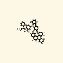 CC1(C)c2ccccc2-c2cc(-n3c4ccccc4c4ccc(N(c5ccccc5)c5cccc6c7ccccc7c7ccccc7c56)cc43)ccc21